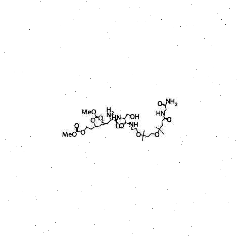 COC(=O)OCC[C@H](CSCC(N)C(=O)N[C@@H](CO)C(=O)NCCOC(C)(C)CCOC(C)(C)CCC(=O)NCC(N)=O)OC(=O)OC